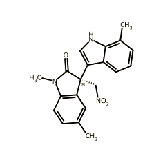 Cc1ccc2c(c1)[C@](C[N+](=O)[O-])(c1c[nH]c3c(C)cccc13)C(=O)N2C